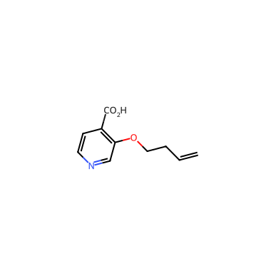 C=CCCOc1cnccc1C(=O)O